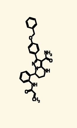 C=CC(=O)Nc1ccccc1C1CCNc2c(C(N)=O)c(-c3ccc(OCc4ccccc4)cc3)nn21